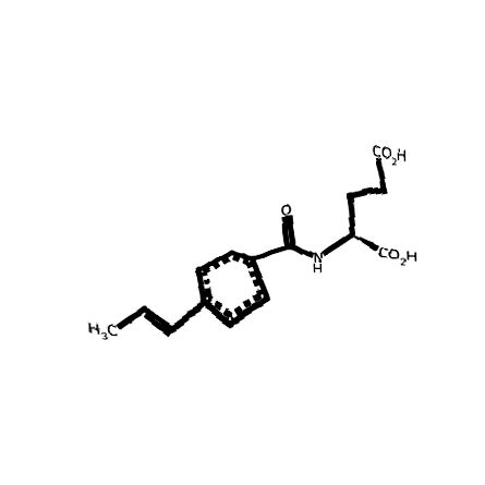 CC=Cc1ccc(C(=O)N[C@@H](CCC(=O)O)C(=O)O)cc1